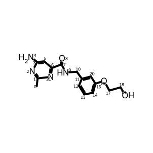 Cc1nc(N)cc(C(=O)NCc2cccc(OCCO)c2)n1